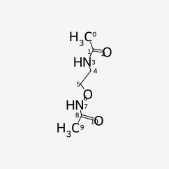 CC(=O)NCCONC(C)=O